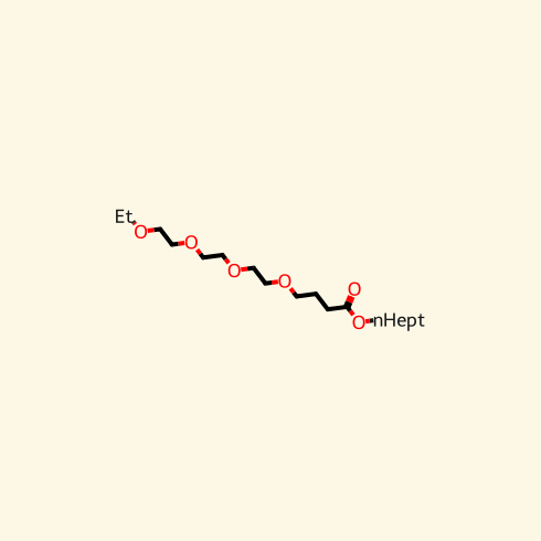 CCCCCCCOC(=O)CCCOCCOCCOCCOCC